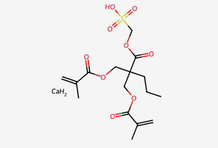 C=C(C)C(=O)OCC(CCC)(COC(=O)C(=C)C)C(=O)OCS(=O)(=O)O.[CaH2]